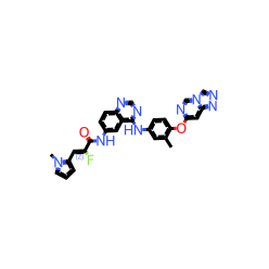 Cc1cc(Nc2ncnc3ccc(NC(=O)/C(F)=C/c4cccn4C)cc23)ccc1Oc1cc2nncn2cn1